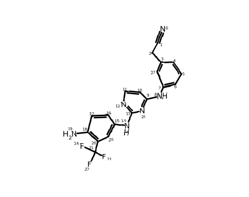 N#CCc1cccc(Nc2ccnc(Nc3ccc(N)c(C(F)(F)F)c3)n2)c1